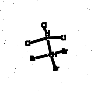 Cl[PH](Cl)(Cl)[PH](Br)(Br)Br